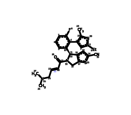 CCn1cc(-c2c(F)cccc2[C@H]2c3cc(C#N)sc3CN2C(=O)/C=C/CN(C)C)c(C(F)(F)F)n1